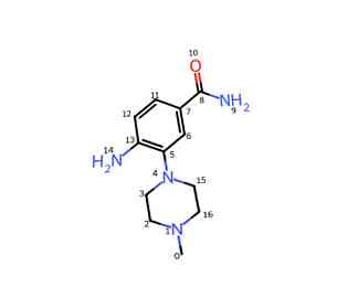 CN1CCN(c2cc(C(N)=O)ccc2N)CC1